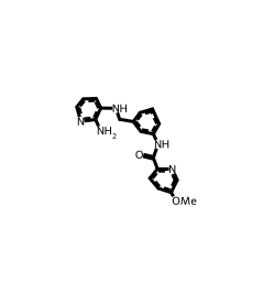 COc1ccc(C(=O)Nc2cccc(CNc3cccnc3N)c2)nc1